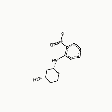 O=[N+]([O-])c1ccccc1N[C@@H]1CCC[C@H](O)C1